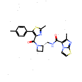 Cc1ccc(-c2sc(C)nc2C(=O)N2CC[C@H]2CNC(=O)c2c(C)nc3sccn23)cc1